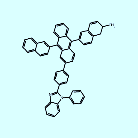 CC1C=Cc2cc(-c3c4ccccc4c(-c4ccc5ccccc5c4)c4cc(-c5ccc(-c6nc7ccccc7n6-c6ccccc6)cc5)ccc34)ccc2C1